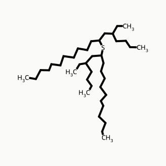 CCCCCCCCCCCC(CC(CC)CCCC)SC(CCCCCCCCCCC)CC(CC)CCCC